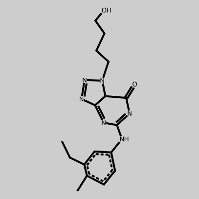 CCc1cc(NC2=NC(=O)C3C(=N2)N=NN3CCCCO)ccc1C